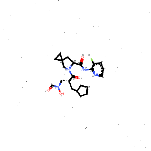 O=CN(O)C[C@@H](CC1CCCC1)C(=O)N1CC2(CC2)CC1C(=O)Nc1ncccc1F